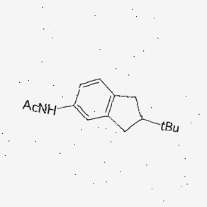 CC(=O)Nc1ccc2c(c1)CC(C(C)(C)C)C2